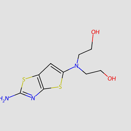 Nc1nc2sc(N(CCO)CCO)cc2s1